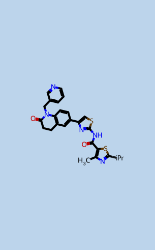 Cc1nc(C(C)C)sc1C(=O)Nc1nc(-c2ccc3c(c2)CCC(=O)N3Cc2cccnc2)cs1